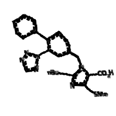 CCCCc1nc(SC)c(C(=O)O)n1Cc1ccc(-c2ccccc2)c(-n2ncnn2)c1